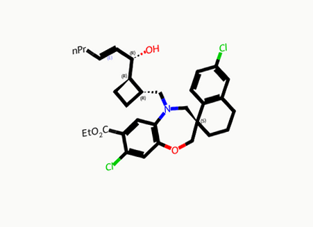 CCC/C=C/[C@H](O)[C@@H]1CC[C@H]1CN1C[C@@]2(CCCc3cc(Cl)ccc32)COc2cc(Cl)c(C(=O)OCC)cc21